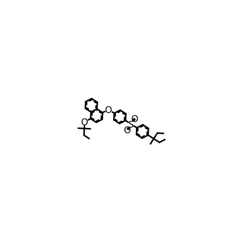 CCC(C)(C)Oc1ccc(Oc2ccc(S(=O)(=O)c3ccc(C(C)(CC)CC)cc3)cc2)c2ccccc12